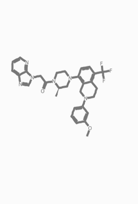 COc1cccc(N2CCc3c(C(F)(F)F)ccc(N4CCN(C(=O)Cn5cnc6cccnc65)[C@H](C)C4)c3C2)c1